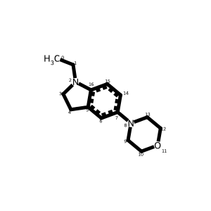 CCN1CCc2cc(N3CCOCC3)ccc21